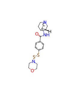 O=C(N[C@H]1CN2CCC1CC2)c1ccc(SSN2CCOCC2)cc1